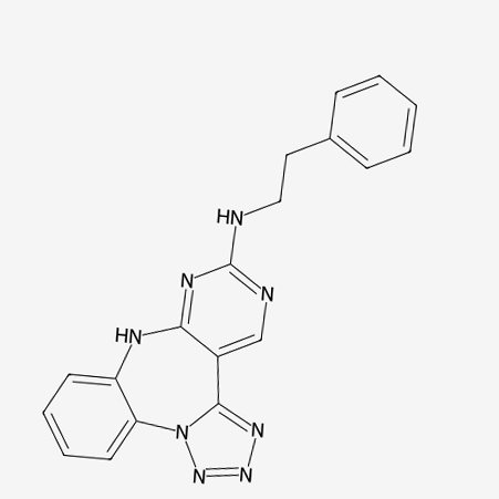 c1ccc(CCNc2ncc3c(n2)Nc2ccccc2-n2nnnc2-3)cc1